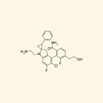 NCCN1c2cc(F)c(Cl)c(-c3c(C(N)=O)ccc(CCO)c3F)c2CC12CC2c1ccccc1